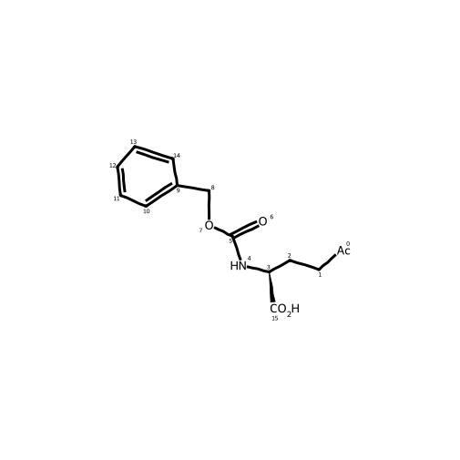 CC(=O)CC[C@H](NC(=O)OCc1ccccc1)C(=O)O